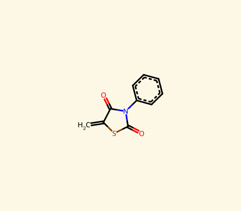 C=C1SC(=O)N(c2ccccc2)C1=O